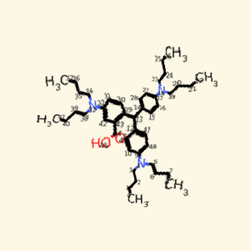 CCCCN(CCCC)c1ccc(C(c2ccc(N(CCCC)CCCC)cc2)c2ccc(N(CCCC)CCCC)cc2C(=O)O)cc1